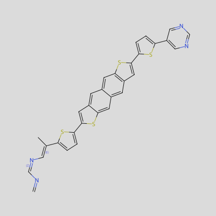 C=N/C=N\C=C(/C)c1ccc(-c2cc3cc4cc5sc(-c6ccc(-c7cncnc7)s6)cc5cc4cc3s2)s1